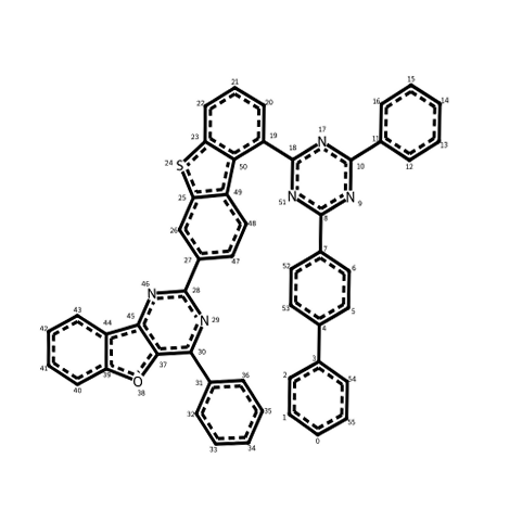 c1ccc(-c2ccc(-c3nc(-c4ccccc4)nc(-c4cccc5sc6cc(-c7nc(-c8ccccc8)c8oc9ccccc9c8n7)ccc6c45)n3)cc2)cc1